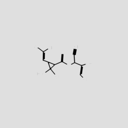 C#CC(OC(=O)C1C(C=C(Cl)Cl)C1(C)C)C(C)=CC